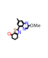 COc1cnc2c(-c3nc4c(s3)C(=O)CCC4)cc(C)cc2n1